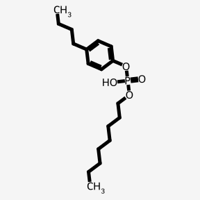 CCCCCCCCOP(=O)(O)Oc1ccc(CCCC)cc1